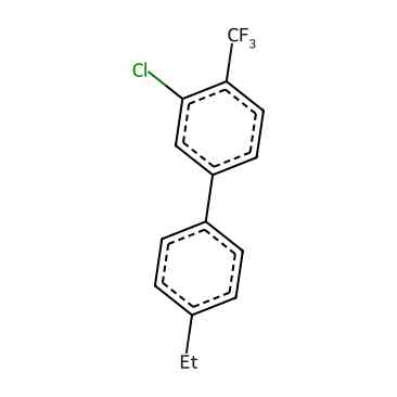 CCc1ccc(-c2ccc(C(F)(F)F)c(Cl)c2)cc1